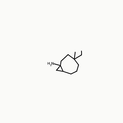 CCC1(C)CCCC2CC2(N)CC1